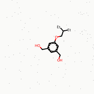 CCC(CC)COc1cc(CO)cc(CO)c1